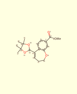 COC(=O)c1ccc2c(c1)OCCC=C2B1OC(C)(C)C(C)(C)O1